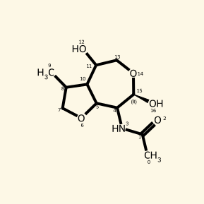 CC(=O)NC1C2OCC(C)C2C(O)CO[C@H]1O